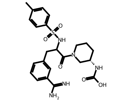 Cc1ccc(S(=O)(=O)NC(Cc2cccc(C(=N)N)c2)C(=O)N2CCC[C@H](NC(=O)O)C2)cc1